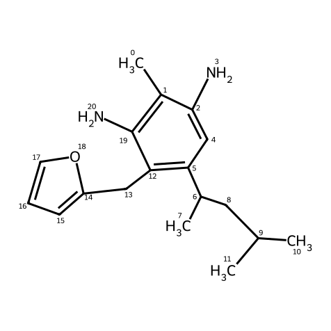 Cc1c(N)cc(C(C)CC(C)C)c(Cc2ccco2)c1N